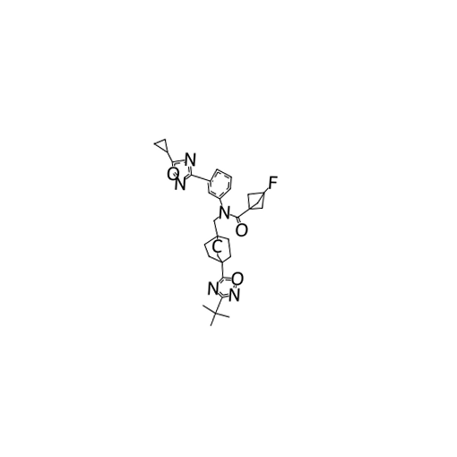 CC(C)(C)c1noc(C23CCC(CN(C(=O)C45CC(F)(C4)C5)c4cccc(-c5noc(C6CC6)n5)c4)(CC2)CC3)n1